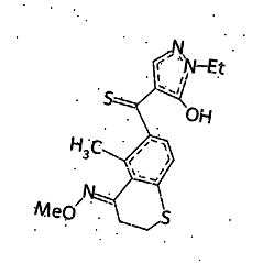 CCn1ncc(C(=S)c2ccc3c(c2C)/C(=N/OC)CCS3)c1O